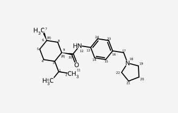 CC(C)C1CC[C@@H](C)C[C@H]1C(=O)Nc1ccc(CN2CCCC2)cc1